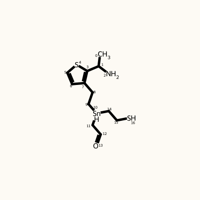 CC(N)c1sccc1C[CH2][SnH]([CH2]C=O)[CH2]CS